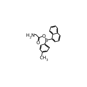 Cc1ccc(B(OC(=O)CN)c2cccc3ccccc23)cc1